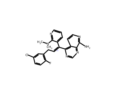 CN(C)c1ncccc1/C(=C\Cc1cc(Cl)ccc1F)c1ncnc2c(N)nccc12